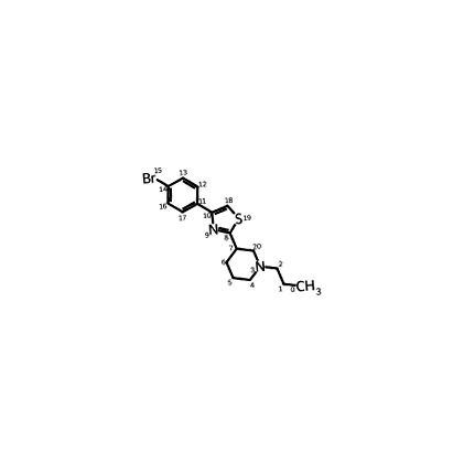 CCCN1CCCC(c2nc(-c3ccc(Br)cc3)cs2)C1